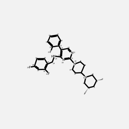 C[C@@H]1C[C@H](C)CN(C2CCN(c3ncc(-c4ccccc4F)c(NCc4ccc(F)cc4F)n3)CC2)C1